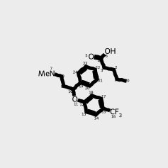 CCCCC(=O)O.CNCCC(Oc1ccc(C(F)(F)F)cc1)c1ccccc1